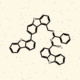 N/C(=N\C(=N/Cc1cccc2oc3ccc(-c4cccc5c4sc4ccccc45)cc3c12)c1ccccc1)c1cccc2oc3ccccc3c12